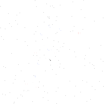 CCCCOC(=O)N1CCN(C(=O)[C@H](CP(=O)(OCC)OCC)NC(=O)c2cc(N3CCC(O)C3)nc(-c3ccccc3)n2)CC1